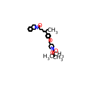 CC/C(=C\CCC(=O)N1CCc2ccccc2C1)c1ccc(OCC2CCN(C(=O)OC(C)(C)C)CC2)cc1